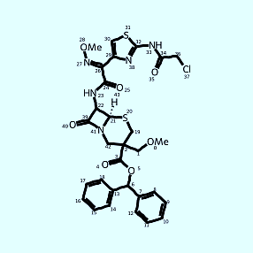 COCC1(C(=O)OC(c2ccccc2)c2ccccc2)CS[C@@H]2C(NC(=O)C(=NOC)c3csc(NC(=O)CCl)n3)C(=O)N2C1